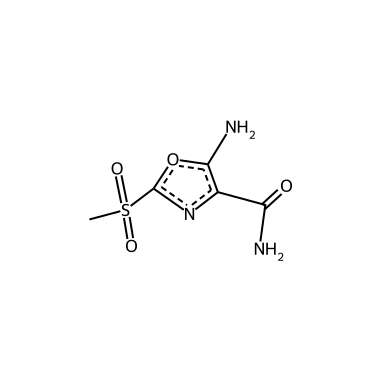 CS(=O)(=O)c1nc(C(N)=O)c(N)o1